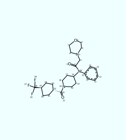 O=C(CN1CCOCC1)N(c1ccccc1)C1CCN(C(=O)[C@H]2CC[C@H](C(F)(F)F)CC2)CC1